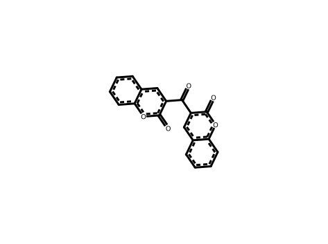 O=C(c1cc2ccccc2oc1=O)c1cc2ccccc2oc1=O